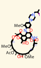 COc1cc(N2CCN(CC(C)I)CC2)cc2oc3c4c(=O)c5c(O)c(C)c6c(c5c-3nc12)C(=O)[C@@](C)(O/C=C/[C@H](OC)[C@@H](C)[C@@H](OC(C)=O)[C@H](C)[C@H](O)[C@H](C)[C@@H](OC)[C@@H](C)/C=C/C=C(/C)C(=O)N4)O6